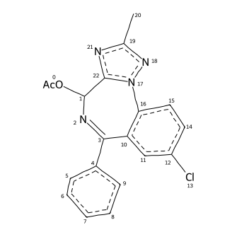 CC(=O)OC1N=C(c2ccccc2)c2cc(Cl)ccc2-n2nc(C)nc21